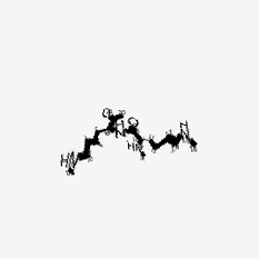 CNCCCC[C@H](NC(=O)[C@H](CCCCNC)NC)C(C)=O